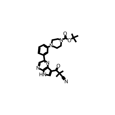 CC(C)(C)OC(=O)N1CCN(c2cccc(-c3cnc4[nH]cc(C(=O)C(C)(C)C#N)c4n3)c2)CC1